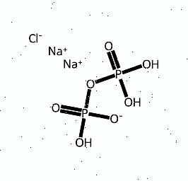 O=P([O-])(O)OP(=O)(O)O.[Cl-].[Na+].[Na+]